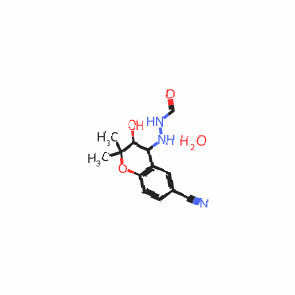 CC1(C)Oc2ccc(C#N)cc2C(NNC=O)C1O.O